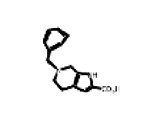 O=C(O)c1cc2c([nH]1)CN(Cc1ccccc1)CC2